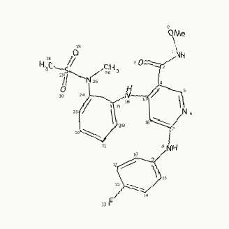 CONC(=O)c1cnc(Nc2ccc(F)cc2)cc1Nc1ccccc1N(C)S(C)(=O)=O